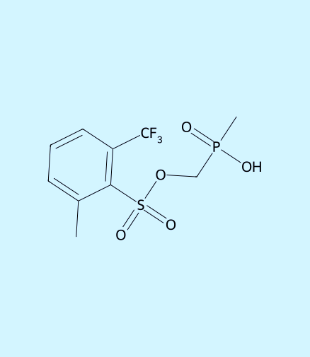 Cc1cccc(C(F)(F)F)c1S(=O)(=O)OCP(C)(=O)O